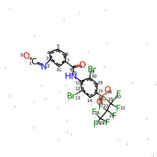 O=C=Nc1cccc(C(=O)Nc2c(Br)cc(S(=O)(=O)C(F)(F)C(F)(F)C(F)(F)F)cc2Br)c1